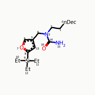 CCCCCCCCCCCCN(Cc1coc([Si](CC)(CC)CC)c1)C(N)=O